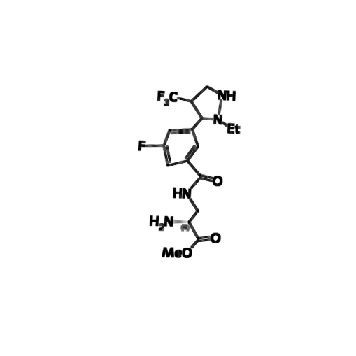 CCN1NCC(C(F)(F)F)C1c1cc(F)cc(C(=O)NC[C@@H](N)C(=O)OC)c1